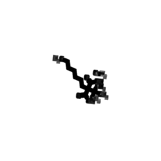 CCCCCCCC(C(=O)O)(C(=O)O)C(C)(C)C.[CaH2]